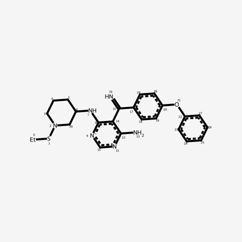 CCSN1CCCC(Nc2ncnc(N)c2C(=N)c2ccc(Oc3ccccc3)cc2)C1